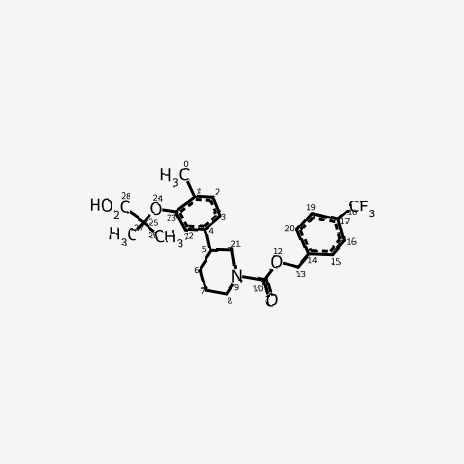 Cc1ccc(C2CCCN(C(=O)OCc3ccc(C(F)(F)F)cc3)C2)cc1OC(C)(C)C(=O)O